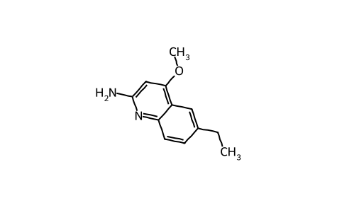 CCc1ccc2nc(N)cc(OC)c2c1